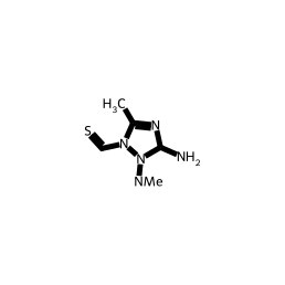 CNN1C(N)N=C(C)N1C=S